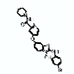 Cn1c(Nc2ccc(Br)cc2)nc2cc(Oc3ccnc(C(=O)NN4CCCCC4)c3)ccc21